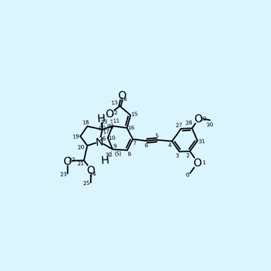 COc1cc(C#CC2=C[C@@H]3C[C@@]4(OC(=O)C=C24)[C@H]2CCC(C(OC)OC)N32)cc(OC)c1